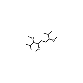 COC(CCC(OC)C(OC)C(C)C)C(C)C